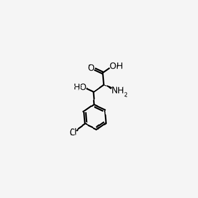 N[C@H](C(=O)O)C(O)c1cccc(Cl)c1